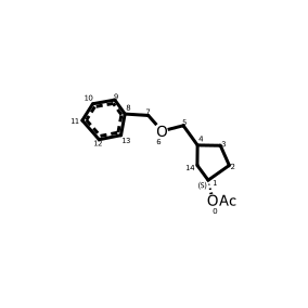 CC(=O)O[C@H]1CCC(COCc2ccccc2)C1